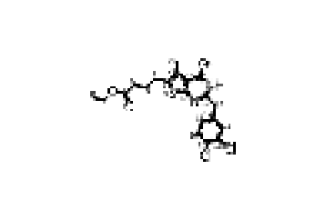 CCOC(=O)CCCc1sc2nc(Cc3ccc(Cl)c(Cl)c3)[nH]c(=O)c2c1C